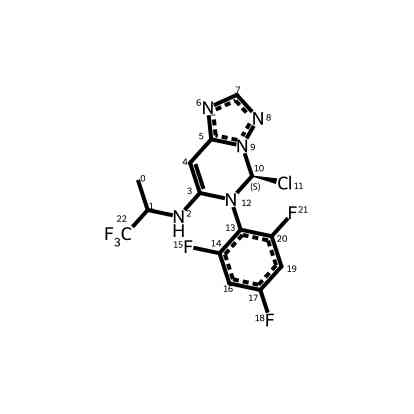 CC(NC1=Cc2ncnn2[C@@H](Cl)N1c1c(F)cc(F)cc1F)C(F)(F)F